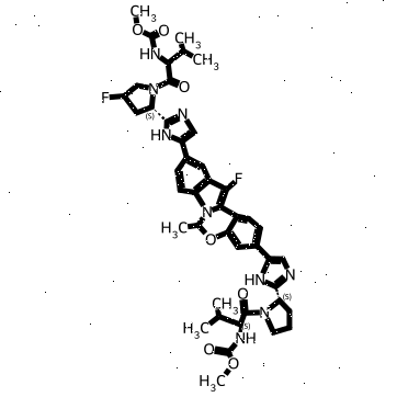 COC(=O)NC(C(=O)N1CC(F)C[C@H]1c1ncc(-c2ccc3c(c2)c(F)c2n3C(C)Oc3cc(-c4cnc([C@@H]5CCCN5C(=O)[C@@H](NC(=O)OC)C(C)C)[nH]4)ccc3-2)[nH]1)C(C)C